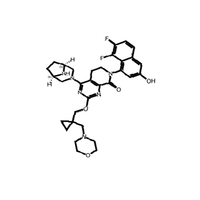 O=C1c2nc(OCC3(CN4CCOCC4)CC3)nc(N3C[C@H]4CC[C@@H](C3)N4)c2CCN1c1cc(O)cc2ccc(F)c(F)c12